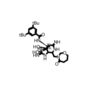 CC(C)(C)c1cc(C(=O)N[C@H]2CN3C(=N)NC(CN4COCCCC4=O)C4NC(=N)NC43[C@@]2(O)CO)cc(C(C)(C)C)c1